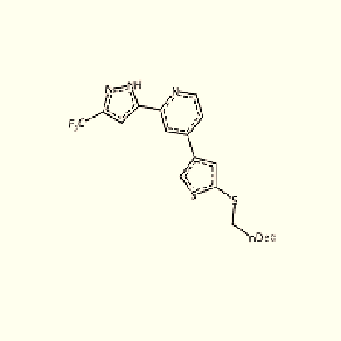 CCCCCCCCCCCSc1cc(-c2ccnc(-c3cc(C(F)(F)F)n[nH]3)c2)cs1